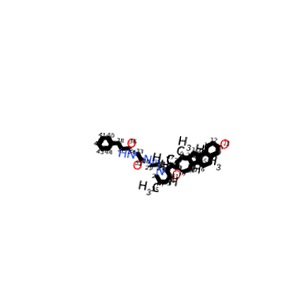 CC1=C2C[C@H]3[C@@H](CCC4=CC(=O)CC[C@@]43C)[C@@H]2CC[C@@]2(C1)O[C@@H]1C[C@H](C)CN(CCNC(=O)CNC(=O)CCc3ccccc3)[C@H]1[C@H]2C